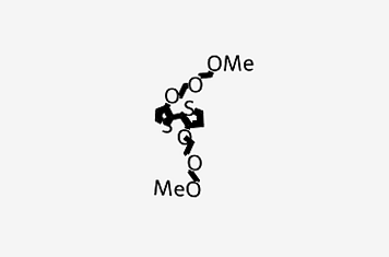 COCCOCCOc1ccsc1-c1sccc1OCCOCCOC